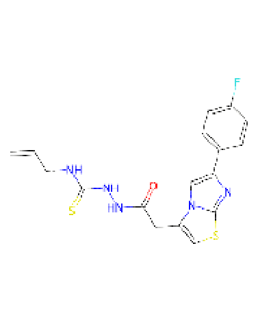 C=CCNC(=S)NNC(=O)Cc1csc2nc(-c3ccc(F)cc3)cn12